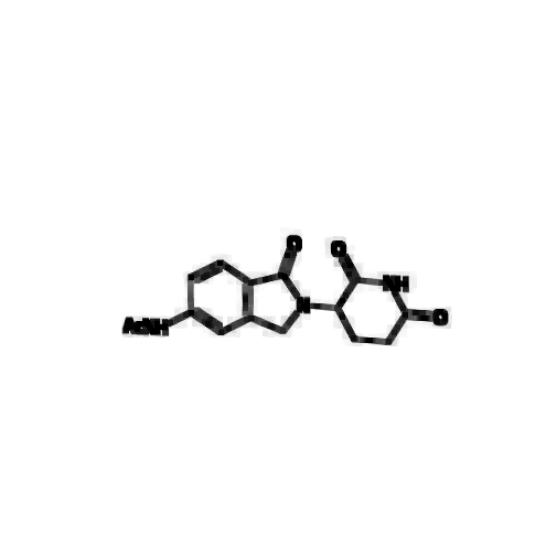 CC(=O)Nc1ccc2c(c1)CN(C1CCC(=O)NC1=O)C2=O